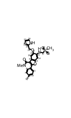 CNC(=O)c1c(-c2ccc(F)cc2)oc2cc(NCS(C)(=O)=O)c(OCc3ncc[nH]3)cc12